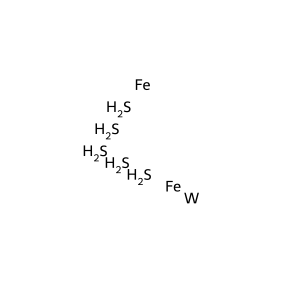 S.S.S.S.S.[Fe].[Fe].[W]